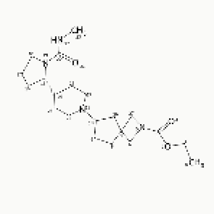 CCOC(=O)N1CC2(CCC(N3CCC([C@@H]4CCCN4C(=O)NC)CC3)C2)C1